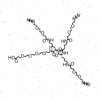 [N-]=[N+]=NCCOCCOCCC(=O)NCCCC[C@@H](NC(=O)CCCNC(=O)CCOCCOCCN=[N+]=[N-])C(=O)N[C@H](CCCCNC(=O)CCOCCOCCN=[N+]=[N-])C(=O)NCCOCCOCCOCCOCCC(=O)O